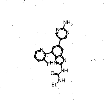 CCNC(=O)Nc1nc2cc(-c3cnc(N)nc3)cc(-c3ncccc3F)c2[nH]1